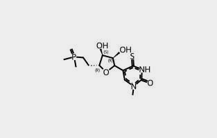 C=P(C)(C)CC[C@H]1OC(c2cn(C)c(=O)[nH]c2=S)[C@H](O)[C@@H]1O